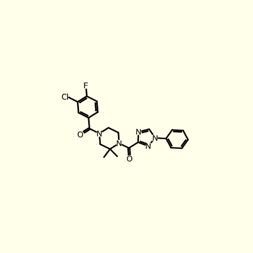 CC1(C)CN(C(=O)c2ccc(F)c(Cl)c2)CCN1C(=O)c1ncn(-c2ccccc2)n1